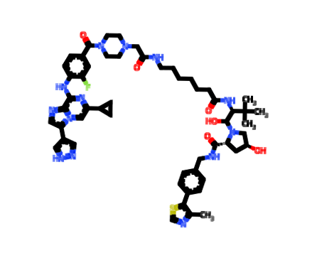 Cc1ncsc1-c1ccc(CNC(=O)[C@H]2C[C@H](O)CN2C(O)[C@@H](NC(=O)CCCCCCNC(=O)CN2CCN(C(=O)c3ccc(Nc4nc(C5CC5)cn5c(-c6cn[nH]c6)cnc45)c(F)c3)CC2)C(C)(C)C)cc1